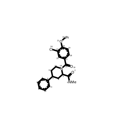 CNC(=O)C1CC(c2ccccc2)CCN1C(=O)c1ccc(OC(C)C)c(Cl)c1